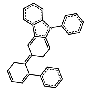 C1=CCC(=C2C=c3c(n(-c4ccccc4)c4ccccc34)=CC2)C(c2ccccc2)=C1